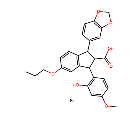 CCCOc1ccc2c(c1)C(c1ccc(OC)cc1O)C(C(=O)O)C2c1ccc2c(c1)OCO2.[K]